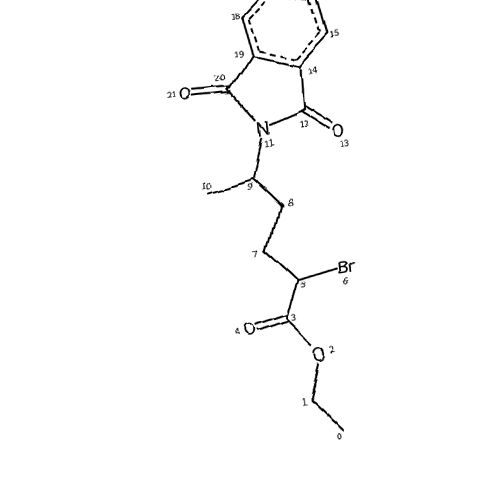 CCOC(=O)C(Br)CCC(C)N1C(=O)c2ccccc2C1=O